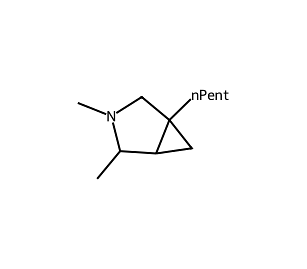 CCCCCC12CC1C(C)N(C)C2